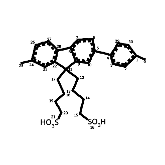 Cc1ccc(-c2ccc3c(c2)C(CCCCS(=O)(=O)O)(CCCCS(=O)(=O)O)c2cc(C)ccc2-3)cc1